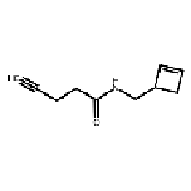 C#CCCC(=O)NCC1C=CC1